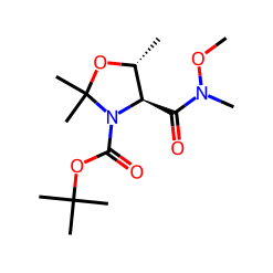 CON(C)C(=O)[C@@H]1[C@@H](C)OC(C)(C)N1C(=O)OC(C)(C)C